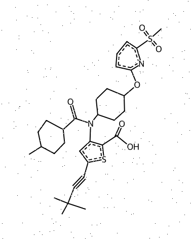 CC1CCC(C(=O)N(c2cc(C#CC(C)(C)C)sc2C(=O)O)C2CCC(Oc3cccc(S(C)(=O)=O)n3)CC2)CC1